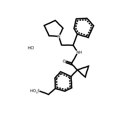 Cl.O=C(NC(CN1CCCC1)c1ccccc1)C1(c2ccc(CS(=O)(=O)O)cc2)CC1